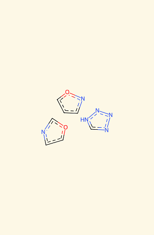 c1cnoc1.c1cocn1.c1nnn[nH]1